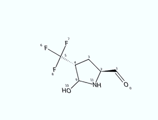 O=C[C@@H]1C[C@@H](C(F)(F)F)C(O)N1